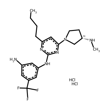 CCCCc1cc(N2CC[C@H](NC)C2)nc(Nc2cc(N)cc(C(F)(F)F)c2)n1.Cl.Cl